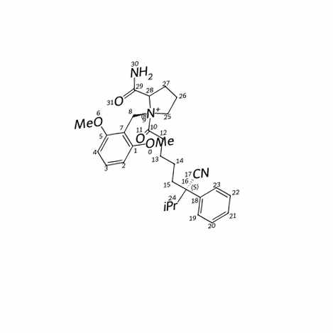 COc1cccc(OC)c1C[N@+]1(C(=O)CCCC[C@@](C#N)(c2ccccc2)C(C)C)CCCC1C(N)=O